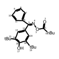 CCCCC(=O)ON=C(c1ccccc1)c1cc(C(C)(C)C)c(O)c(C(C)(C)C)c1